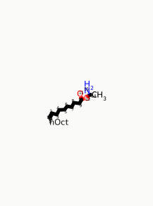 CCCCCCCC/C=C\CCCCCCCC(=O)OC(C)N